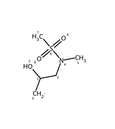 [CH2]C(O)CN(C)S(C)(=O)=O